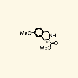 COC(=O)[C@@H]1Cc2cc(OC)ccc2CN1